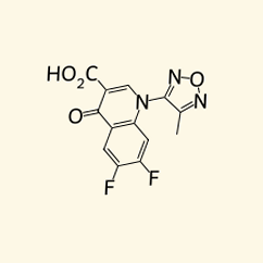 Cc1nonc1-n1cc(C(=O)O)c(=O)c2cc(F)c(F)cc21